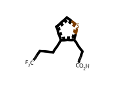 O=C(O)Cc1sccc1CCC(F)(F)F